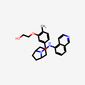 Cc1ccc(CN2C3CCC2CC(Nc2cccc4cnccc24)C3)cc1OCCO